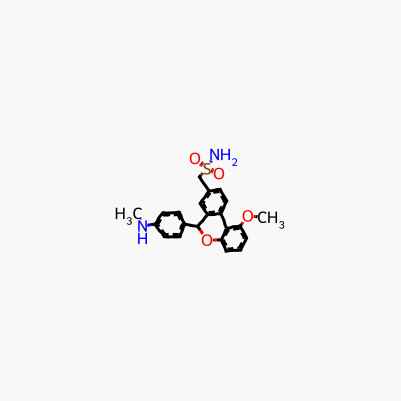 CNc1ccc(C2Oc3cccc(OC)c3-c3ccc(CS(N)(=O)=O)cc32)cc1